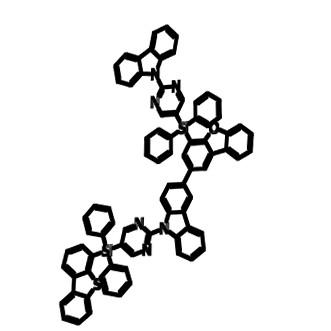 c1ccc([Si](c2ccccc2)(c2cnc(-n3c4ccccc4c4ccccc43)nc2)c2cc(-c3ccc4c(c3)c3ccccc3n4-c3ncc([Si](c4ccccc4)(c4ccccc4)c4cccc5c4sc4ccccc45)cn3)cc3c2oc2ccccc23)cc1